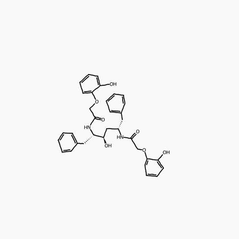 O=C(COc1ccccc1O)N[C@@H](Cc1ccccc1)C[C@@H](O)[C@H](Cc1ccccc1)NC(=O)COc1ccccc1O